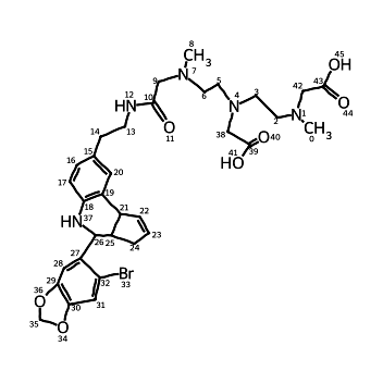 CN(CCN(CCN(C)CC(=O)NCCc1ccc2c(c1)C1C=CCC1C(c1cc3c(cc1Br)OCO3)N2)CC(=O)O)CC(=O)O